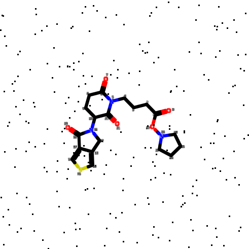 O=C(CCCN1C(=O)CCC(N2Cc3cscc3C2=O)C1=O)ON1CCCC1